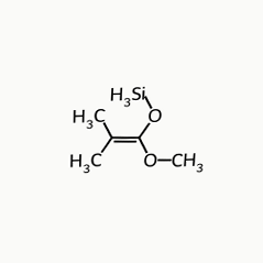 COC(O[SiH3])=C(C)C